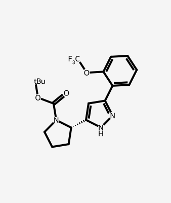 CC(C)(C)OC(=O)N1CCC[C@H]1c1cc(-c2ccccc2OC(F)(F)F)n[nH]1